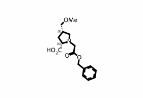 COC[C@H]1C[C@@H](C(=O)O)N(CC(=O)OCc2ccccc2)C1